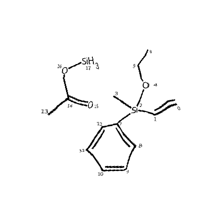 C=C[Si](C)(OCC)c1ccccc1.CC(=O)O[SiH3]